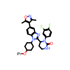 Cc1noc(C)c1-c1ccc2c(c1)nc(C1CCNC(=O)N1c1ccc(F)c(F)c1)n2C1CCC(OC(C)C)CC1